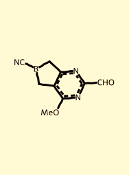 COc1nc(C=O)nc2c1CB(C#N)C2